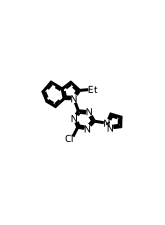 CCc1cc2ccccc2n1-c1nc(Cl)nc(-n2cccn2)n1